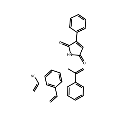 C=C(C)c1ccccc1.C=CC#N.C=Cc1ccccc1.O=C1C=C(c2ccccc2)C(=O)N1